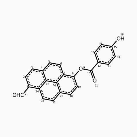 O=Cc1ccc2ccc3c(OC(=O)c4ccc(O)cc4)ccc4ccc1c2c43